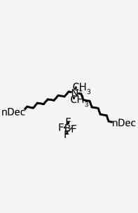 CCCCCCCCCCCCCCCCCCC[N+](C)(C)CCCCCCCCCCCCCCCCCC.F[B-](F)(F)F